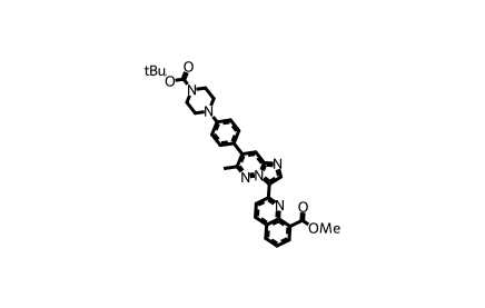 COC(=O)c1cccc2ccc(-c3cnc4cc(-c5ccc(N6CCN(C(=O)OC(C)(C)C)CC6)cc5)c(C)nn34)nc12